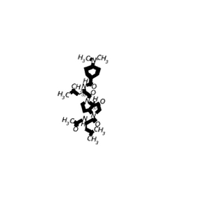 CC(=O)N[C@H](CC(C)C)C(=O)N1CC(=O)[C@@H]2C1CCN2C(=O)[C@H](CC(C)C)NC(=O)c1ccc(N(C)C)cc1